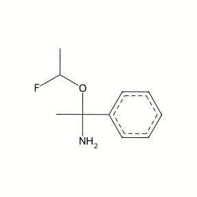 CC(F)OC(C)(N)c1ccccc1